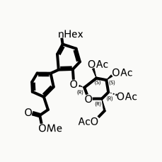 CCCCCCc1ccc(O[C@H]2O[C@H](COC(C)=O)[C@@H](OC(C)=O)[C@H](OC(C)=O)[C@@H]2OC(C)=O)c(-c2cccc(CC(=O)OC)c2)c1